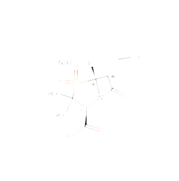 CC1(C)[C@H](C(=O)O)N2C(=O)[C@@H](CO)[C@H]2S1(=O)=O.[NaH]